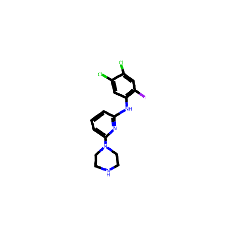 Clc1cc(I)c(Nc2cccc(N3CCNCC3)n2)cc1Cl